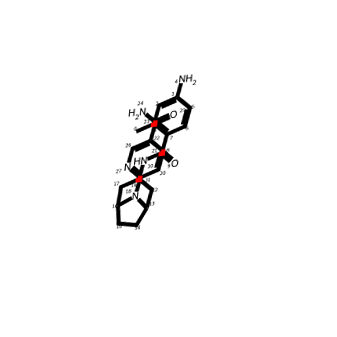 Cc1cc(N)ccc1C(=O)NC1CC2CCC(C1)N2c1ccc(C(N)=O)cn1